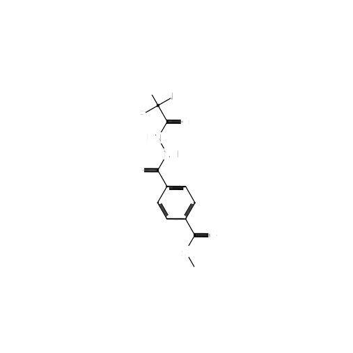 COC(=O)c1ccc(C(=O)NNC(=O)C(F)(F)F)cc1